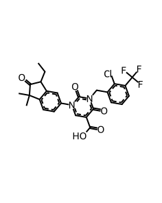 CCC1C(=O)C(C)(C)c2ccc(-n3cc(C(=O)O)c(=O)n(Cc4cccc(C(F)(F)F)c4Cl)c3=O)cc21